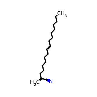 C=C(C#N)CCCCCC/C=C/CCCCCCCC